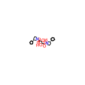 O=C(ON1CCC[C@H](c2ccccc2)C1)C(O)C(O)C(=O)ON1CCC[C@H](c2ccccc2)C1